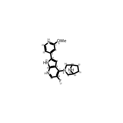 COc1cc(-c2cc3c(N4CC5CCC(C4)N5)c(F)cnc3[nH]2)ccn1